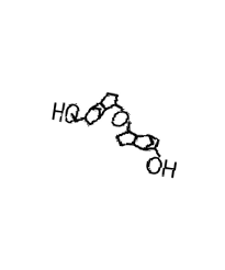 OCC1CC2CC1C1CCC(COCC3CCC4C5CC(CC5CO)C34)C21